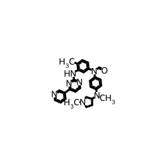 Cc1ccc(N(C=O)c2ccc(N(C)C3CCN(C)C3)cc2)cc1Nc1nccc(-c2cccnc2)n1